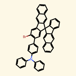 Brc1cc2c(cc1-c1ccc(N(c3ccccc3)c3ccccc3)cc1)C1(c3ccccc3-c3cc4ccccc4cc31)c1cc3ccccc3cc1-2